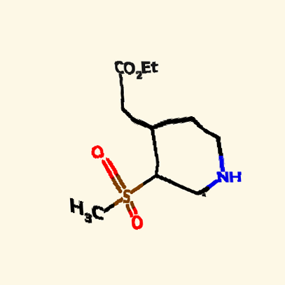 CCOC(=O)CC1CCN[C]C1S(C)(=O)=O